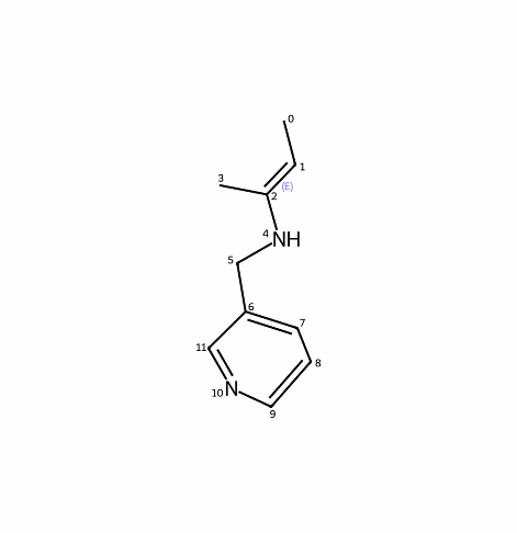 C/C=C(\C)NCc1cccnc1